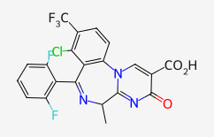 CC1N=C(c2c(F)cccc2F)c2c(ccc(C(F)(F)F)c2Cl)-n2cc(C(=O)O)c(=O)nc21